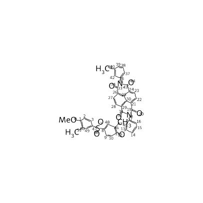 COc1ccc(S(=O)(=O)c2ccc(Oc3cccc(N4C(=O)c5ccc6c7c(ccc(c57)C4=O)C(=O)N(c4cccc(C)c4)C6=O)c3)c(C)c2)cc1C